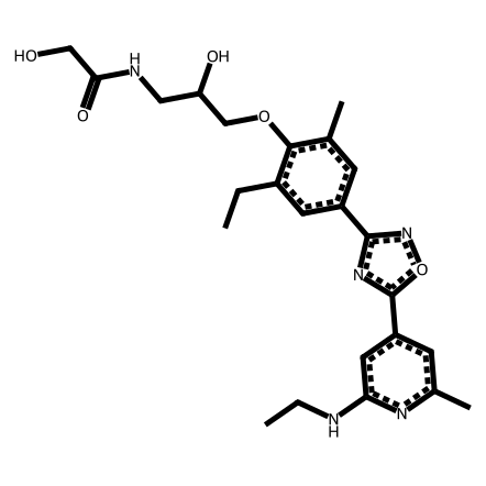 CCNc1cc(-c2nc(-c3cc(C)c(OCC(O)CNC(=O)CO)c(CC)c3)no2)cc(C)n1